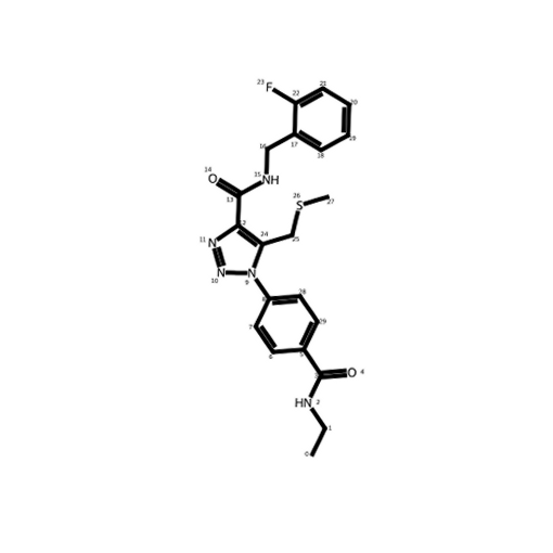 CCNC(=O)c1ccc(-n2nnc(C(=O)NCc3ccccc3F)c2CSC)cc1